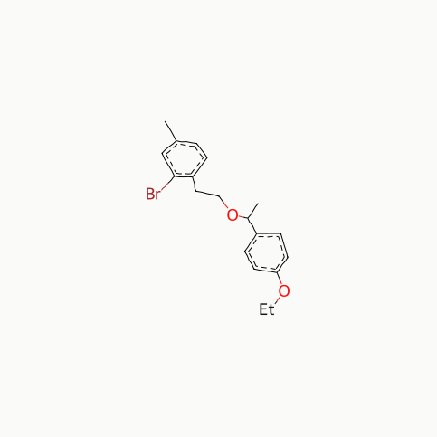 CCOc1ccc(C(C)OCCc2ccc(C)cc2Br)cc1